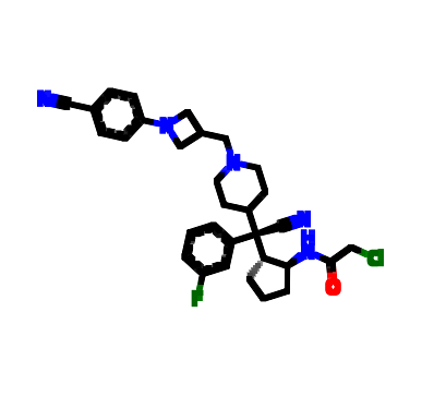 N#Cc1ccc(N2CC(CN3CCC([C@@](C#N)(c4cccc(F)c4)[C@H]4CCC[C@@H]4NC(=O)CCl)CC3)C2)cc1